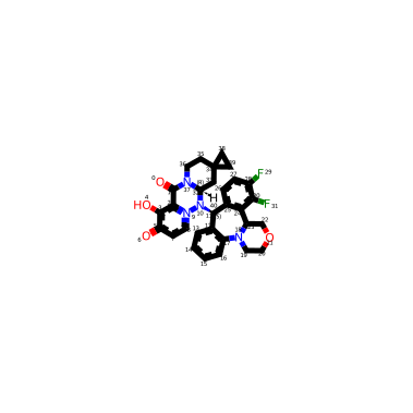 O=C1c2c(O)c(=O)ccn2N([C@@H]2c3ccccc3N3CCOCC3c3c2ccc(F)c3F)[C@@H]2CC3(CCN12)CC3